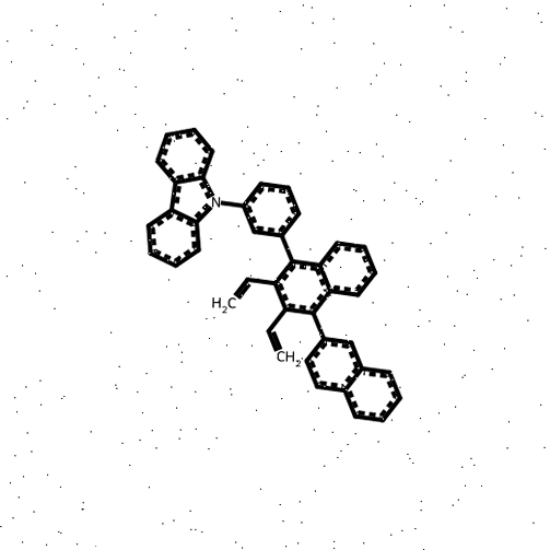 C=Cc1c(C=C)c(-c2ccc3ccccc3c2)c2ccccc2c1-c1cccc(-n2c3ccccc3c3ccccc32)c1